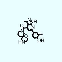 Cc1n[nH]c2nc(-c3ccc(O)c(F)c3)cc(C(=O)N3CCCC4(CNCCO4)C3)c12